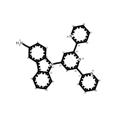 Nc1ccc2c(c1)c1ccccc1n2-c1cc(-c2ccccn2)nc(-c2ccccn2)c1